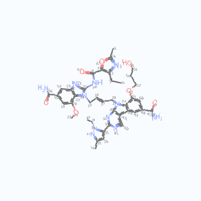 CCc1nc(C)oc1C(=O)Nc1nc2cc(C(N)=O)cc(OC)c2n1C/C=C/Cn1c2nc(-c3cc(C)nn3CC)ncc2c2cc(C(N)=O)cc(OCCCO)c21